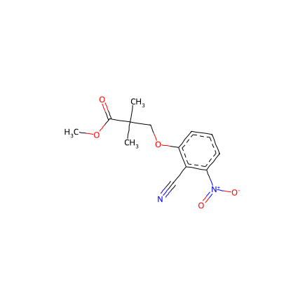 COC(=O)C(C)(C)COc1cccc([N+](=O)[O-])c1C#N